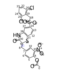 CC(=O)Oc1ccc(/C=C2\Sc3ccc(S(=O)(=O)Cc4c(Cl)cccc4Cl)cc3NC2=O)cc1[N+](=O)[O-]